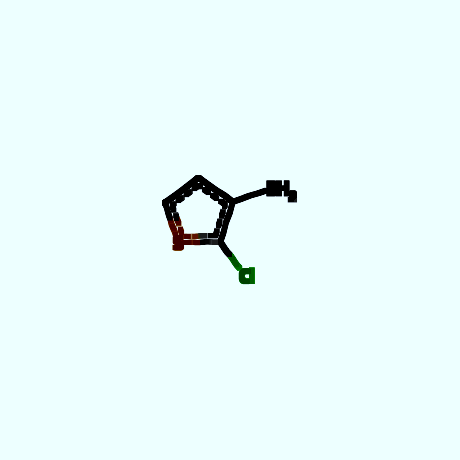 Bc1ccsc1Cl